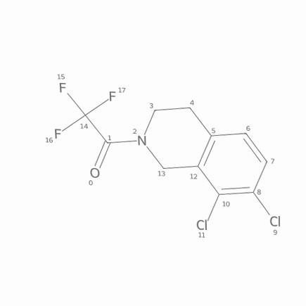 O=C(N1CCc2ccc(Cl)c(Cl)c2C1)C(F)(F)F